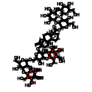 C=C1C[C@@]23CC[C@H]4[C@@](C)(CCC[C@@]4(C)C(=O)OC4OC(CO)C(O)C(OC5OC(CO)C(O)C(O)C5O)C4OC4OC(CC)C(O)C(O)C4O)[C@@H]2CCC1(OC1OC(COC2OC(CO)C(O)C(OC4OC(CO)C(O)C(O)C4O)C2OC2OC(CO)C(O)C(O)C2O)C(O)C(OC2OC(CO)C(O)C(O)C2O)C1OC1OC(CO)C(O)C(O)C1O)C3